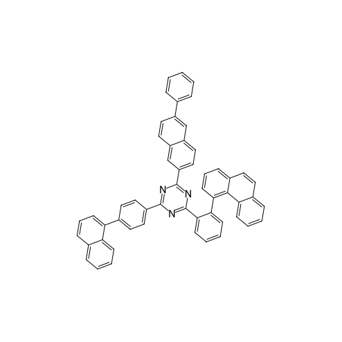 c1ccc(-c2ccc3cc(-c4nc(-c5ccc(-c6cccc7ccccc67)cc5)nc(-c5ccccc5-c5cccc6ccc7ccccc7c56)n4)ccc3c2)cc1